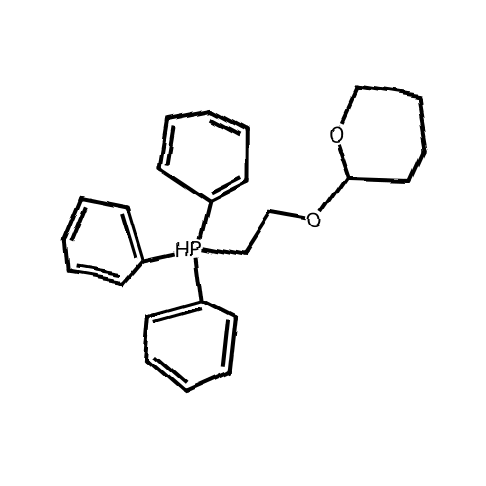 c1ccc([PH](CCOC2CCCCO2)(c2ccccc2)c2ccccc2)cc1